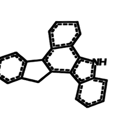 c1ccc2c(c1)Cc1c-2c2ccccc2c2[nH]c3ccccc3c12